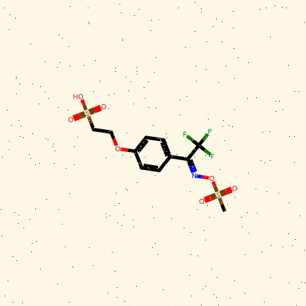 CS(=O)(=O)O/N=C(/c1ccc(OCCS(=O)(=O)O)cc1)C(F)(F)F